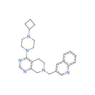 c1ccc2ncc(CN3CCc4c(ncnc4N4CCN(C5CCC5)CC4)C3)cc2c1